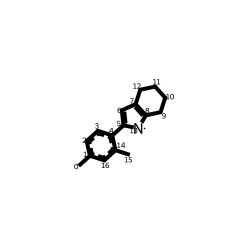 Cc1ccc(C2=CC3=C(CCCC3)[N]2)c(C)c1